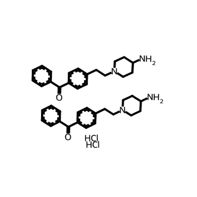 Cl.Cl.NC1CCN(CCc2ccc(C(=O)c3ccccc3)cc2)CC1.NC1CCN(CCc2ccc(C(=O)c3ccccc3)cc2)CC1